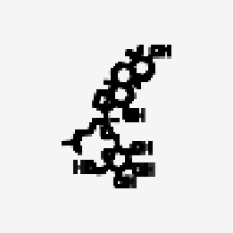 CC(C)=CCC[C@](C)(OCC1OC(CO)C(O)C(O)C1O)C1CC[C@]2(C)C1C(O)CC1C3(C)CCC(O)C(C)(C)C3CCC12C